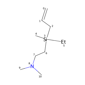 C=CC[Si](C)(CC)CCN(C)C